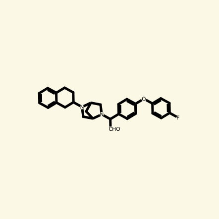 O=CC(c1ccc(Oc2ccc(F)cc2)cc1)N1CC2CC1CN2C1CCc2ccccc2C1